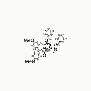 COc1ccc(C(c2ccc(OC)cc2)N2C(=O)[C@H]([C@@H](C)OC(=O)OCc3ccccc3)[C@H]2C(C)C(=O)OCc2ccccc2)cc1